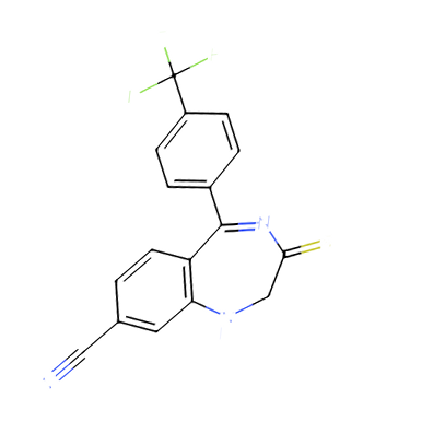 N#Cc1ccc2c(c1)NCC(=S)N=C2c1ccc(C(F)(F)F)cc1